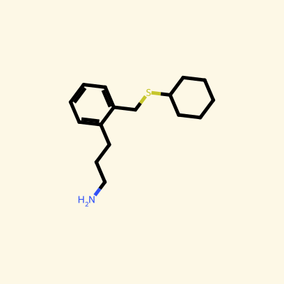 NCCCc1ccccc1CSC1CCCCC1